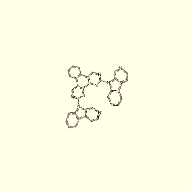 c1ccc2c(c1)c1cnc(-n3c4ccccc4c4ccncc43)nc1c1nc(-n3c4ccccc4c4ccncc43)ncc21